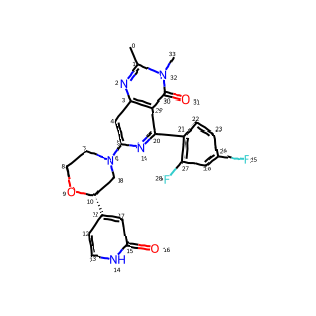 Cc1nc2cc(N3CCO[C@@H](c4cc[nH]c(=O)c4)C3)nc(-c3ccc(F)cc3F)c2c(=O)n1C